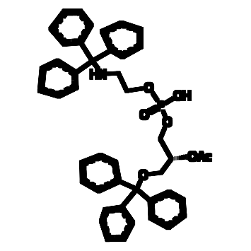 CC(=O)O[C@H](COC(c1ccccc1)(c1ccccc1)c1ccccc1)COP(=O)(O)OCCNC(c1ccccc1)(c1ccccc1)c1ccccc1